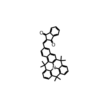 CC1(C)c2cccc3c2N2c4c1cccc4C(C)(C)c1c2c(cc2cc(C=C4C(=O)c5ccccc5C4=O)ccc12)C3(C)C